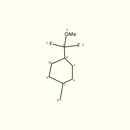 COC(F)(F)C1CCC(C)CC1